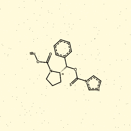 CC(C)(C)OC(=O)N1CCC[C@H]1C(OC(=S)n1ccnc1)c1ccccc1